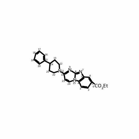 CCOC(=O)c1ccc2c(c1)nc1nc(N3CCC(c4ccccc4)CC3)ccn12